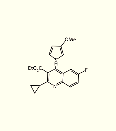 CCOC(=O)c1c(C2CC2)nc2ccc(F)cc2c1[SH]1C=CC(OC)=C1